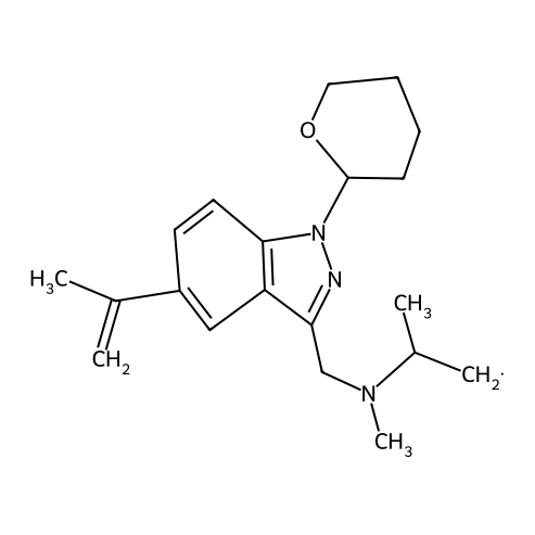 [CH2]C(C)N(C)Cc1nn(C2CCCCO2)c2ccc(C(=C)C)cc12